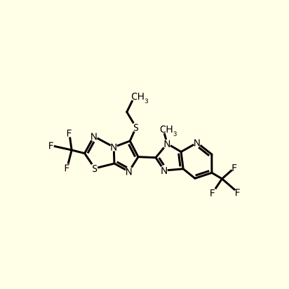 CCSc1c(-c2nc3cc(C(F)(F)F)cnc3n2C)nc2sc(C(F)(F)F)nn12